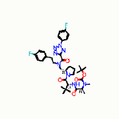 C[C@@H](C(=O)N[C@H](C(=O)N1CCC[C@H]1CN(CCc1ccc(F)cc1)C(=O)c1nnn(-c2ccc(F)cc2)n1)C(C)(C)C)N(C)C(=O)OC(C)(C)C